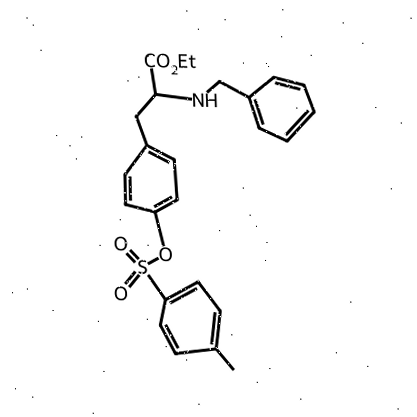 CCOC(=O)C(Cc1ccc(OS(=O)(=O)c2ccc(C)cc2)cc1)NCc1ccccc1